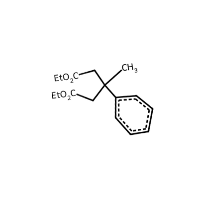 CCOC(=O)CC(C)(CC(=O)OCC)c1ccccc1